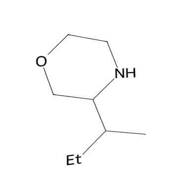 CCC(C)C1COCCN1